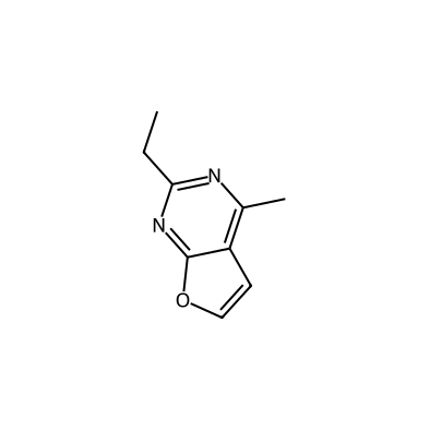 CCc1nc(C)c2ccoc2n1